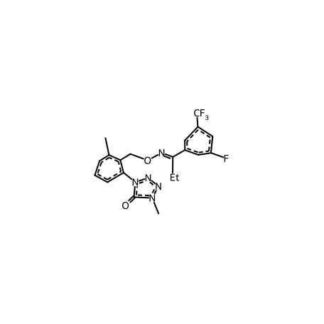 CCC(=NOCc1c(C)cccc1-n1nnn(C)c1=O)c1cc(F)cc(C(F)(F)F)c1